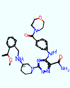 C=C(OC)c1ccccc1CN[C@@H]1CCCN(c2nnc(C(N)=O)c(Nc3ccc(C(=O)N4CCOCC4)cc3)n2)C1